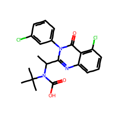 CC(c1nc2cccc(Cl)c2c(=O)n1-c1cccc(Cl)c1)N(C(=O)O)C(C)(C)C